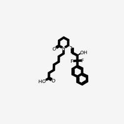 O=C(O)CCCCCCN1C(=O)CCC[C@@H]1/C=C/[C@@H](O)C(F)(F)c1ccc2ccccc2c1